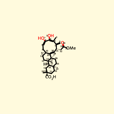 C=C1/C(C)=C(O)\C(O)=C/C[C@]2(C)CC[C@@]3(C)[C@@H]4C[C@](C)(C(=O)O)CC[C@]4(C)CC[C@]3(C)/C2=C/[C@H]1CC(=O)OC